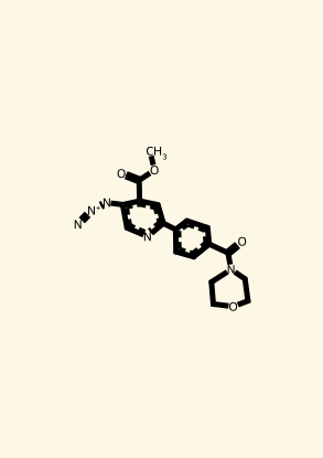 COC(=O)c1cc(-c2ccc(C(=O)N3CCOCC3)cc2)ncc1N=[N+]=[N-]